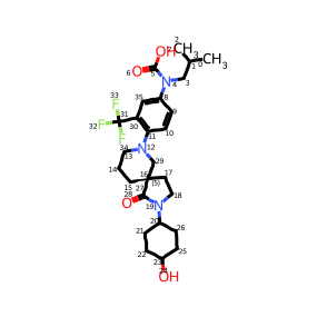 CC(C)CN(C(=O)O)c1ccc(N2CCC[C@]3(CCN(C4CCC(O)CC4)C3=O)C2)c(C(F)(F)F)c1